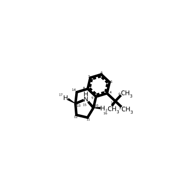 CC(C)(C)c1cccc2c1[C@@H]1CC[C@H](C2)N1